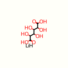 O=C(O)C(O)C(O)C(O)C(O)C(=O)O.[LiH]